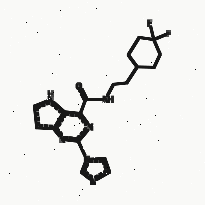 O=C(NCCC1CCC(F)(F)CC1)c1nc(-n2ccnc2)nc2cc[nH]c12